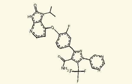 CC(C)n1c(=O)[nH]c2nccc(Oc3ccc(-c4nn(-c5cncnc5)c(C(F)(F)F)c4C(N)=O)cc3F)c21